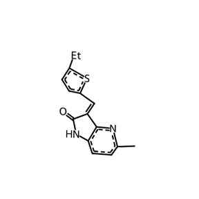 CCc1ccc(C=C2C(=O)Nc3ccc(C)nc32)s1